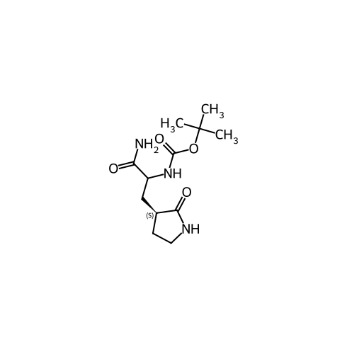 CC(C)(C)OC(=O)NC(C[C@@H]1CCNC1=O)C(N)=O